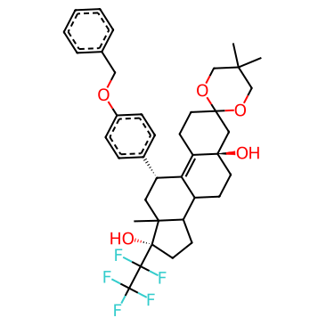 CC1(C)COC2(CCC3=C4C(CC[C@@]3(O)C2)C2CC[C@@](O)(C(F)(F)C(F)(F)F)C2(C)C[C@@H]4c2ccc(OCc3ccccc3)cc2)OC1